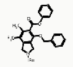 CC[C@@H](C)N1Cc2c(c(C(F)(F)F)c(C)c(C(=O)Oc3ccccc3)c2OCc2ccccc2)C1